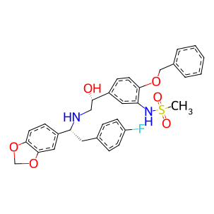 CS(=O)(=O)Nc1cc([C@@H](O)CN[C@H](Cc2ccc(F)cc2)c2ccc3c(c2)OCO3)ccc1OCc1ccccc1